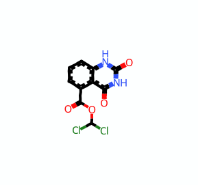 O=C(OC(Cl)Cl)c1cccc2[nH]c(=O)[nH]c(=O)c12